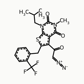 CC(C)Cn1c(=O)n(C)c(=O)c2c(C(=O)C=[N+]=[N-])c(Cc3ccccc3C(F)(F)F)sc21